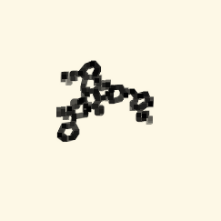 Cc1c(N2CCN(Cc3cnc(C(F)(F)F)s3)CC2)c(=O)n(CC(N)c2ccccc2)c(=O)n1Cc1c(F)cccc1C(F)(F)F